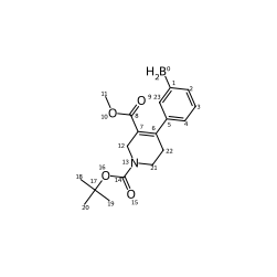 Bc1cccc(C2=C(C(=O)OC)CN(C(=O)OC(C)(C)C)CC2)c1